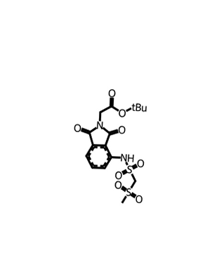 CC(C)(C)OC(=O)CN1C(=O)c2cccc(NS(=O)(=O)CS(C)(=O)=O)c2C1=O